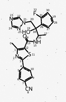 Cc1nc(-c2ccc(C#N)cc2)sc1C(=O)NC(C)C(O)(Cn1cncn1)c1ccccc1F